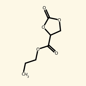 CCCOC(=O)C1COC(=O)O1